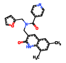 Cc1cc(C)c2[nH]c(=O)c(CN(Cc3ccco3)C(=O)c3ccncc3)cc2c1